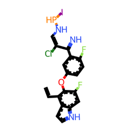 C=Cc1c(Oc2ccc(F)c(C(=N)/C(Cl)=C\NPI)c2)c(F)cc2[nH]ccc12